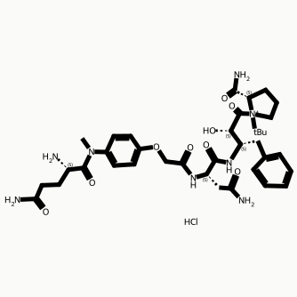 CN(C(=O)[C@@H](N)CCC(N)=O)c1ccc(OCC(=O)N[C@@H](CC(N)=O)C(=O)N[C@@H](Cc2ccccc2)[C@H](O)C(=O)[N+]2(C(C)(C)C)CCC[C@H]2C(N)=O)cc1.Cl